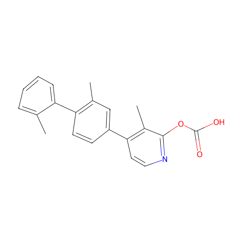 Cc1ccccc1-c1ccc(-c2ccnc(OC(=O)O)c2C)cc1C